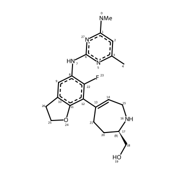 CNc1cc(C)nc(Nc2cc3c(c(C4=CCN[C@@H](CO)CC4)c2F)OCC3)n1